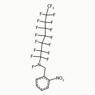 O=[N+]([O-])c1ccccc1CN(F)C(F)(F)C(F)(F)C(F)(F)C(F)(F)C(F)(F)C(F)(F)C(F)(F)C(F)(F)F